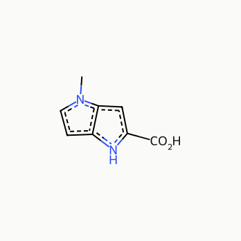 Cn1ccc2[nH]c(C(=O)O)cc21